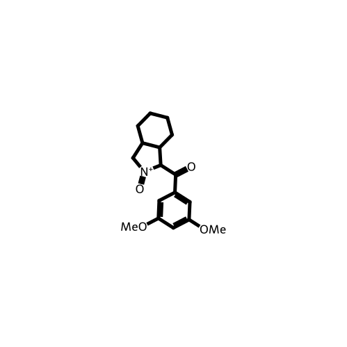 COc1cc(OC)cc(C(=O)C2C3CCCCC3C[N+]2=O)c1